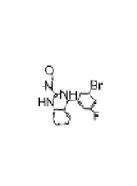 CN(C=O)C(=N)NC(c1ccccc1)c1cc(F)cc(Br)c1